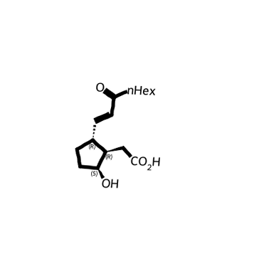 CCCCCCC(=O)C=C[C@H]1CC[C@H](O)[C@@H]1CC(=O)O